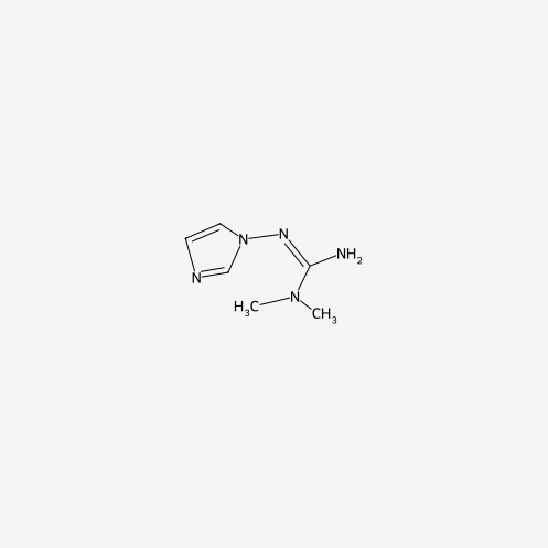 CN(C)C(N)=Nn1ccnc1